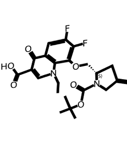 C=C1C[C@@H](COc2c(F)c(F)cc3c(=O)c(C(=O)O)cn(CC)c23)N(C(=O)OC(C)(C)C)C1